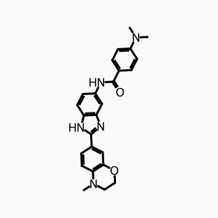 CN(C)c1ccc(C(=O)Nc2ccc3[nH]c(-c4ccc5c(c4)OCCN5C)nc3c2)cc1